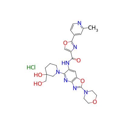 Cc1cc(-c2nc(C(=O)Nc3cc4oc(N5CCOCC5)nc4nc3N3CCCC(O)(CO)C3)co2)ccn1.Cl